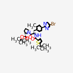 Cc1cc(-c2ncc(Br)cn2)ccc1C[C@H](NC(=O)c1ccc(C(C)(C)C)s1)C(=O)N1CCC[C@H]1C(=O)OC(C)(C)C